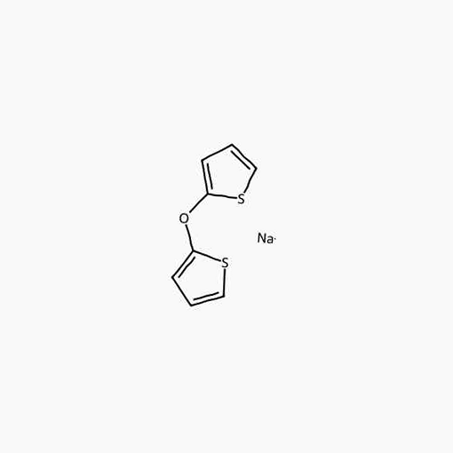 [Na].c1csc(Oc2cccs2)c1